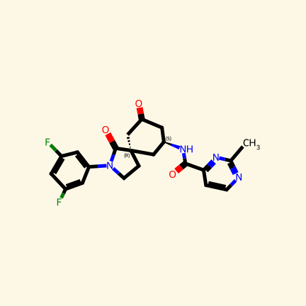 Cc1nccc(C(=O)N[C@@H]2CC(=O)C[C@@]3(CCN(c4cc(F)cc(F)c4)C3=O)C2)n1